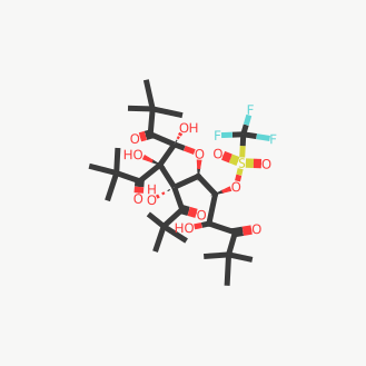 CC(C)(C)C(=O)C(O)[C@H](OS(=O)(=O)C(F)(F)F)[C@@H]1O[C@](O)(C(=O)C(C)(C)C)[C@@](O)(C(=O)C(C)(C)C)[C@]1(O)C(=O)C(C)(C)C